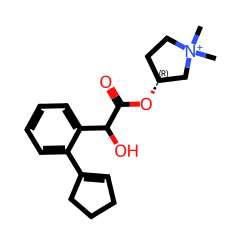 C[N+]1(C)CC[C@@H](OC(=O)C(O)c2ccccc2C2=CCCC2)C1